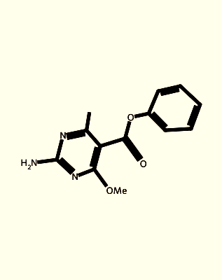 COc1nc(N)nc(C)c1C(=O)Oc1ccccc1